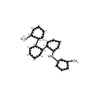 Cc1cccc(Nc2ccccc2-c2ccccc2-c2ccccc2N)c1